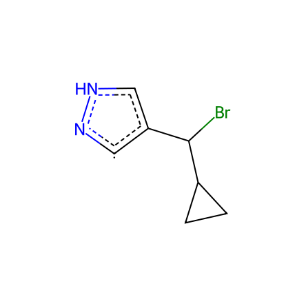 BrC(c1[c]n[nH]c1)C1CC1